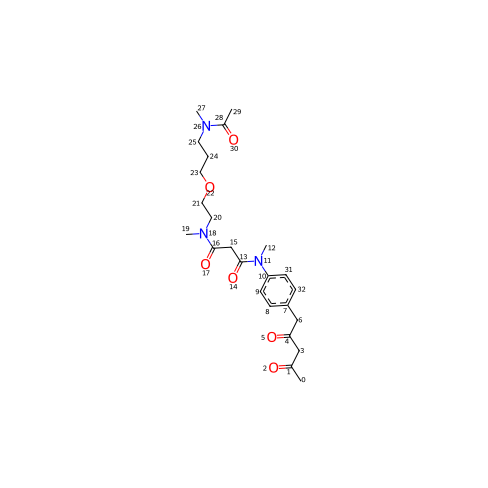 CC(=O)CC(=O)Cc1ccc(N(C)C(=O)CC(=O)N(C)CCOCCCN(C)C(C)=O)cc1